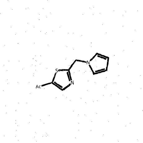 CC(=O)c1cnc(Cn2cccc2)s1